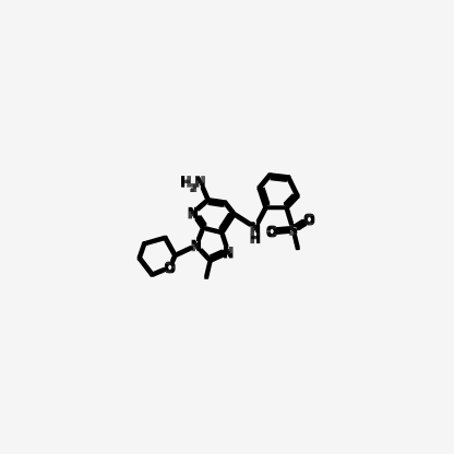 Cc1nc2c(Nc3ccccc3S(C)(=O)=O)cc(N)nc2n1C1CCCCO1